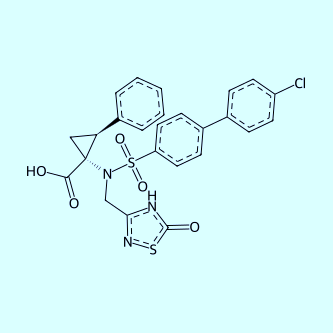 O=C(O)[C@@]1(N(Cc2nsc(=O)[nH]2)S(=O)(=O)c2ccc(-c3ccc(Cl)cc3)cc2)C[C@H]1c1ccccc1